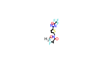 CON(Cc1ccc(-c2noc(C(F)(F)F)n2)s1)C(=O)C1CC1(F)F